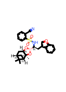 CC1(C)[C@@H]2C[C@H]3OB([C@H](Cc4coc5ccccc45)NS(=O)(=O)c4ccccc4C#N)O[C@@]3(C)[C@H]1C2